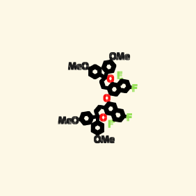 COc1ccc(C2(c3ccc(OC)cc3)C=Cc3c(Oc4cc5cc(F)cc(F)c5c5c4C=CC(c4ccc(OC)cc4)(c4ccc(OC)cc4)O5)cc4cc(F)cc(F)c4c3O2)cc1